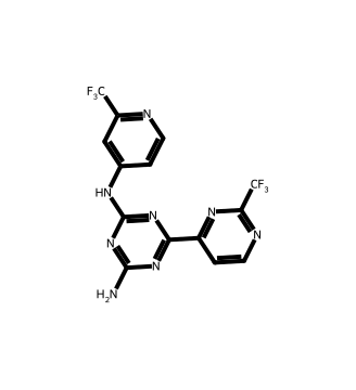 Nc1nc(Nc2ccnc(C(F)(F)F)c2)nc(-c2ccnc(C(F)(F)F)n2)n1